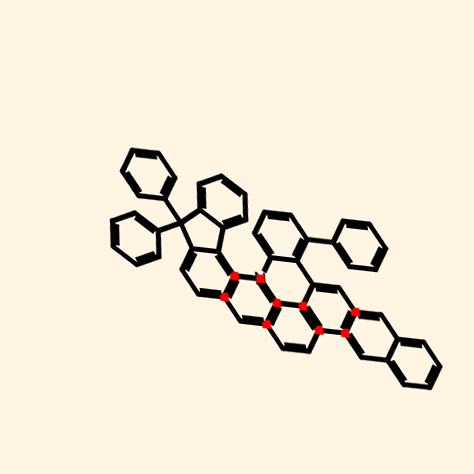 c1ccc(-c2ccccc2-c2c(-c3ccccc3)cccc2N(c2cccc(-c3ccc4ccccc4c3)c2)c2cccc3c2-c2ccccc2C3(c2ccccc2)c2ccccc2)cc1